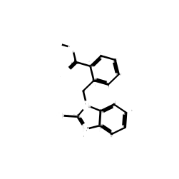 COC(=O)c1ccccc1Cn1c(Cl)nc2ccccc21